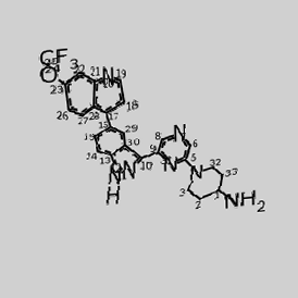 NC1CCN(c2cncc(-c3n[nH]c4ccc(-c5ccnc6cc(OC(F)(F)F)ccc56)cc34)n2)CC1